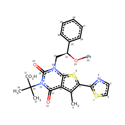 Cc1c(-c2nccs2)sc2c1c(=O)n(C(C)(C)C(=O)O)c(=O)n2C[C@H](OC(C)C)c1ccccc1